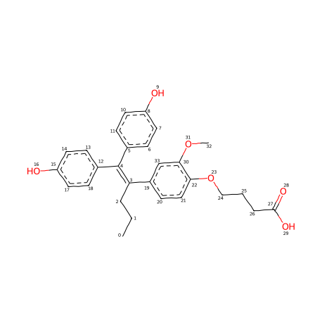 CCCC(=C(c1ccc(O)cc1)c1ccc(O)cc1)c1ccc(OCCCC(=O)O)c(OC)c1